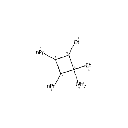 CCCC1C(CC)C(N)(CC)C1CCC